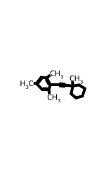 Cc1cc(C)c(C#CC2(C)CCCCC2)c(C)c1